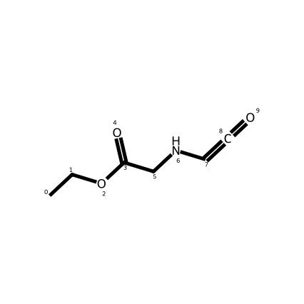 CCOC(=O)CNC=C=O